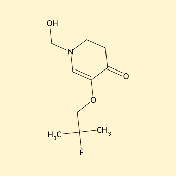 CC(C)(F)COC1=CN(CO)CCC1=O